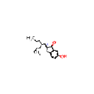 CCCC(/C=C1\Cc2ccc(O)cc2C1=O)CCC